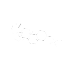 C=C[C@]12CC[C@H]3[C@@H](CC[C@@H]4CC(O[Si](C)(C)C(C)(C)C)CC[C@@]43C)[C@@H]1CC[C@@H]2[C@H](C)O